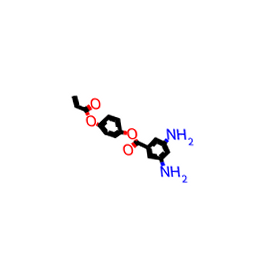 C=CC(=O)Oc1ccc(OC(=O)c2cc(N)cc(N)c2)cc1